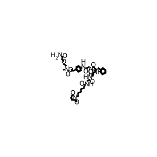 CN(CCOCC(N)=O)C(=O)OCc1ccc(NC(=O)CNC(=O)[C@H](Cc2ccccc2)NC(=O)CNC(=O)CNC(=O)CCCCCN2C(=O)C=CC2=O)cc1